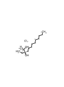 CCCCCCCCCC[N+](O)(CC)C(C)O.[Cl-]